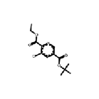 CCOC(=O)c1ncc(C(=O)OC(C)(C)C)cc1Cl